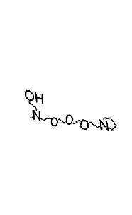 CN(CCO)CCOCCOCCOCCN1CCCC1